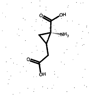 N[C@@]1(C(=O)O)CC1CC(=O)O